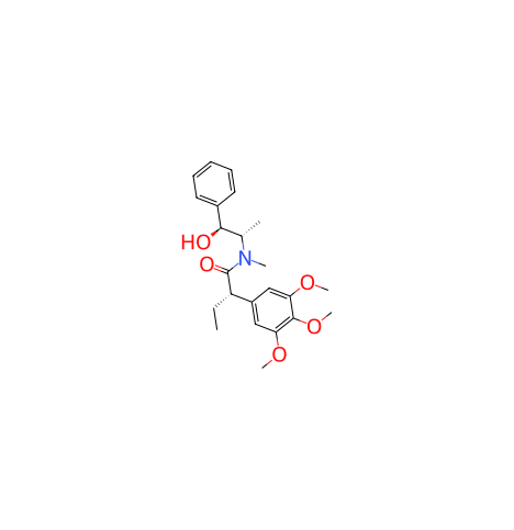 CC[C@H](C(=O)N(C)[C@@H](C)[C@@H](O)c1ccccc1)c1cc(OC)c(OC)c(OC)c1